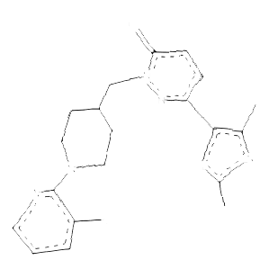 Cc1nc(C)c(-c2ccc(=O)n(CC3CCN(c4ncccc4C(F)(F)F)CC3)n2)s1